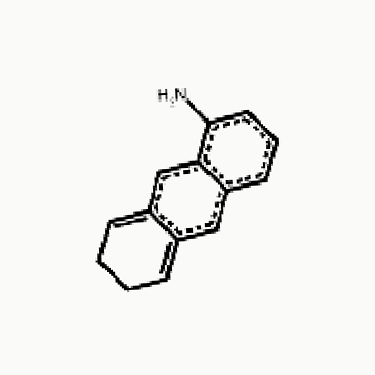 Nc1cccc2cc3c(cc12)=CCCC=3